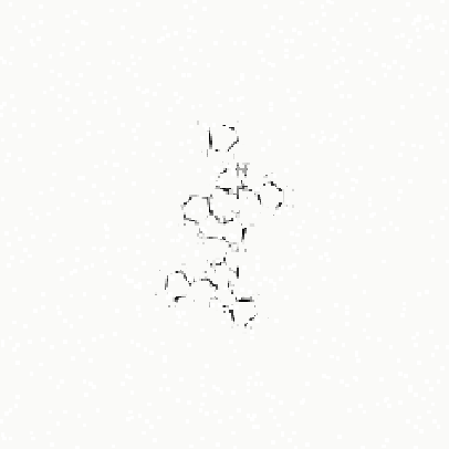 c1ccc(-c2cc(-c3cccc4sc5c(-c6nc(-c7ccccc7)c7oc8ccccc8c7n6)cccc5c34)nc(-c3ccccc3)n2)cc1